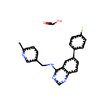 Cc1ccc(CNc2ncnc3ccc(-c4ccc(F)cc4)cc23)cn1.O=CO